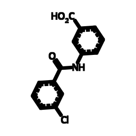 O=C(O)c1cccc(NC(=O)c2cccc(Cl)c2)c1